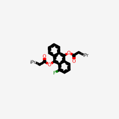 CC(C)CC(=O)Oc1c2ccccc2c(OC(=O)CC(C)C)c2c(F)cccc12